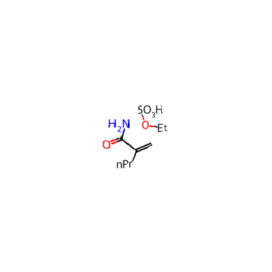 C=C(CCC)C(N)=O.CCOS(=O)(=O)O